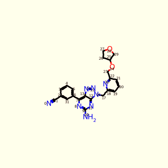 N#Cc1cccc(-c2nc(N)nc3c2nnn3Cc2cccc(COC3CCOC3)n2)c1